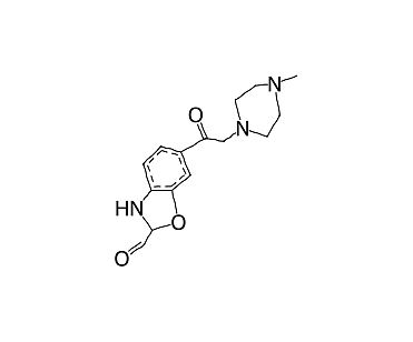 CN1CCN(CC(=O)c2ccc3c(c2)OC(C=O)N3)CC1